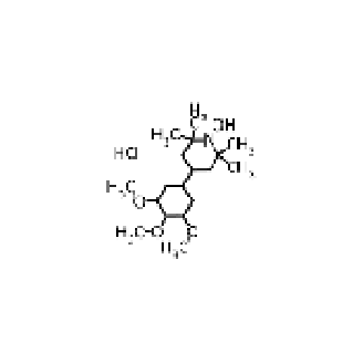 COC1=C(OC)C(OC)CC(C2CC(C)(C)N(O)C(C)(C)C2)C1.Cl